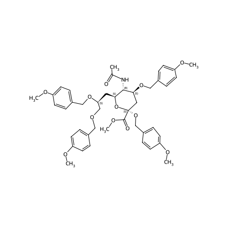 COC(=O)[C@]1(OCc2ccc(OC)cc2)C[C@H](OCc2ccc(OC)cc2)[C@@H](NC(C)=O)[C@H](C[C@@H](COCc2ccc(OC)cc2)OCc2ccc(OC)cc2)O1